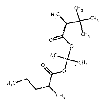 CCCC(C)C(=O)OC(C)(C)OC(=O)C(C)C(C)(C)C